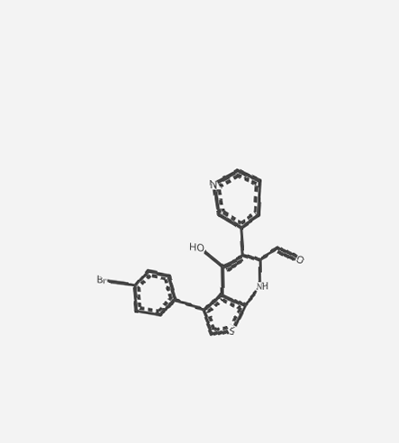 O=CC1Nc2scc(-c3ccc(Br)cc3)c2C(O)=C1c1cccnc1